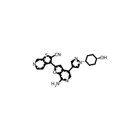 N#Cc1sc2cnccc2c1-c1cc2c(-c3cnn([C@H]4CC[C@H](O)CC4)c3)cnc(N)c2o1